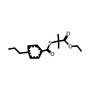 CCCc1ccc(C(=O)SC(C)(C)C(=O)OCC)cc1